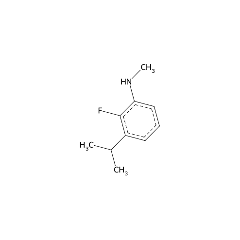 CNc1cccc(C(C)C)c1F